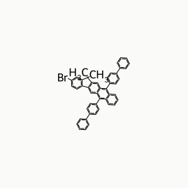 CC1(C)c2cc(Br)ccc2-c2cc3c(-c4ccc(-c5ccccc5)cc4)c4ccccc4c(-c4ccc(-c5ccccc5)cc4)c3cc21